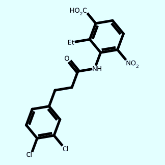 CCc1c(C(=O)O)ccc([N+](=O)[O-])c1NC(=O)CCc1ccc(Cl)c(Cl)c1